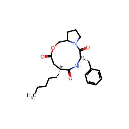 CCCCC[C@@H]1CC(=O)OCC2CCCN2C(=O)[C@H](Cc2ccccc2)NC1=O